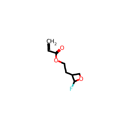 C=CC(=O)OCCC1COC1F